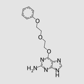 Nc1nc(OCCOCCOc2ccccc2)c2nc[nH]c2n1